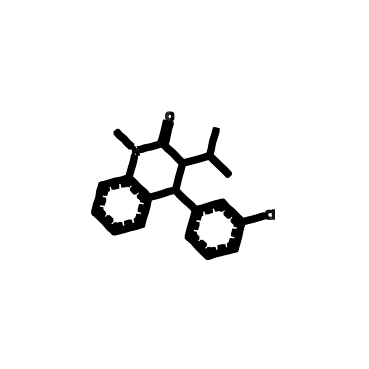 CC(C)C1C(=O)N(C)c2ccccc2C1c1cccc(Cl)c1